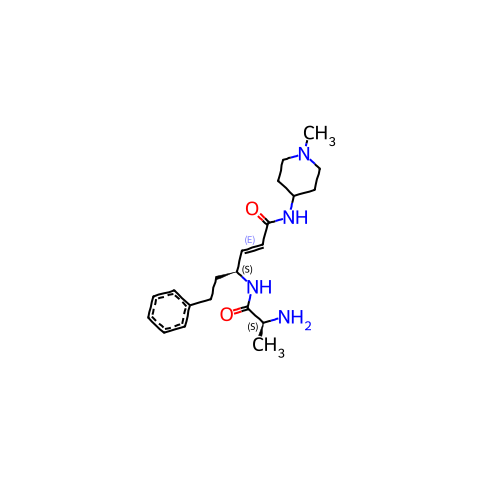 C[C@H](N)C(=O)N[C@H](/C=C/C(=O)NC1CCN(C)CC1)CCc1ccccc1